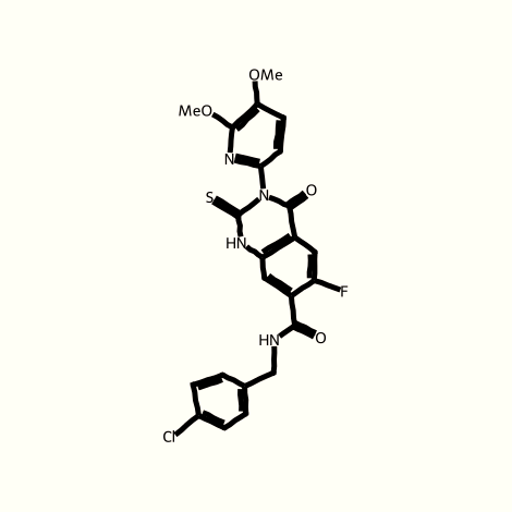 COc1ccc(-n2c(=S)[nH]c3cc(C(=O)NCc4ccc(Cl)cc4)c(F)cc3c2=O)nc1OC